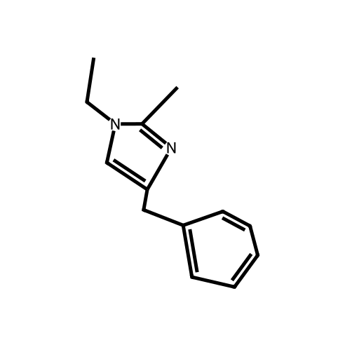 CCn1cc(Cc2ccccc2)nc1C